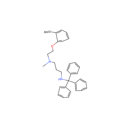 COc1ccccc1OCCN(C)CCCNC(c1ccccc1)(c1ccccc1)c1ccccc1